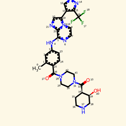 Cc1cc(Nc2nccn3c(-c4c[nH]nc4C(F)(F)F)cnc23)ccc1C(=O)N1CCN(C(=O)[C@@H]2CCNC[C@@H]2O)CC1